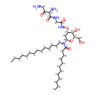 CCCCCCCCCCCCCCN(C(=O)CCCCCCCCCCC)[C@H]1C[C@H](ONC(=O)CNC(=O)C(N)C(=O)CN)[C@@H](O)[C@@H](CO)O1